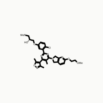 CNC[C@@H](O)COc1ccc(Cl)c(-c2nc(-c3c(C)noc3C)c(C)c(N3Cc4ccc(OCCOC)nc4C3)n2)c1